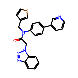 O=C(Cn1nnc2ccccc21)N(Cc1ccsc1)c1ccc(-c2cccnc2)cc1